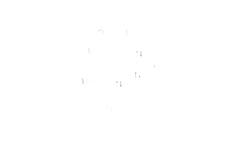 C[C@@]1(O)COCCN(c2nc(Cl)nc3c(F)c(Br)c(F)cc23)C1